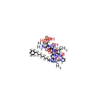 CC(=O)N1CCC[C@H]1C(=O)N[C@@H](CC(C)C)C(=O)N[C@@H](Cc1cncn1CCCCCCCCc1ccccc1)C(=O)N[C@@H](CO)C(=O)N[C@@H](C(N)=O)[C@H](C)CP(=O)(O)O